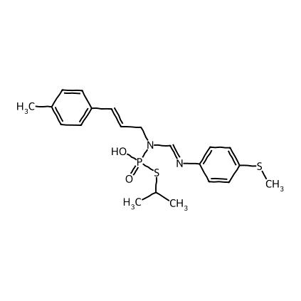 CSc1ccc(N=CN(CC=Cc2ccc(C)cc2)P(=O)(O)SC(C)C)cc1